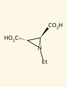 CCN1[C@H](C(=O)O)[C@H]1C(=O)O